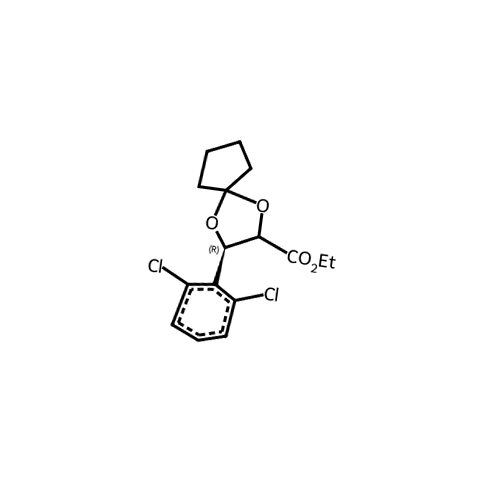 CCOC(=O)C1OC2(CCCC2)O[C@@H]1c1c(Cl)cccc1Cl